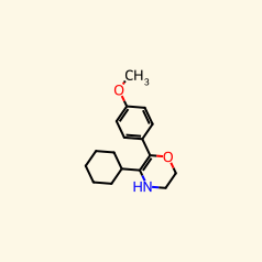 COc1ccc(C2=C(C3CCCCC3)NCCO2)cc1